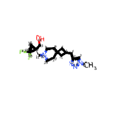 Cn1cc(CC2CC3(CCN(C[C@@]4(CO)CC4(F)F)CC3)C2)nn1